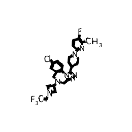 Cc1nc(N2CCC(c3nnc4n3-c3ccc(Cl)cc3CN(C3CN(CC(F)(F)F)C3)C4)CC2)ccc1F